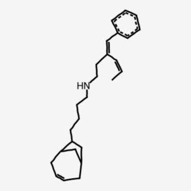 C/C=C\C(=C/c1ccccc1)CCNCCCCC1CC2CC=CCC1C2